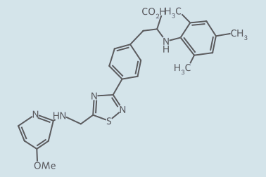 COc1ccnc(NCc2nc(-c3ccc(CC(Nc4c(C)cc(C)cc4C)C(=O)O)cc3)ns2)c1